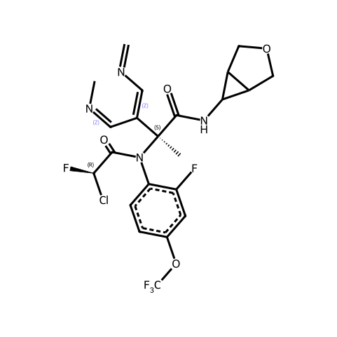 C=N/C=C(\C=N/C)[C@@](C)(C(=O)NC1C2COCC21)N(C(=O)[C@H](F)Cl)c1ccc(OC(F)(F)F)cc1F